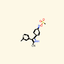 Cc1cccc(C2=C(C#N)NC2=C2C=CC(=NOS(C)(=O)=O)C=C2)c1